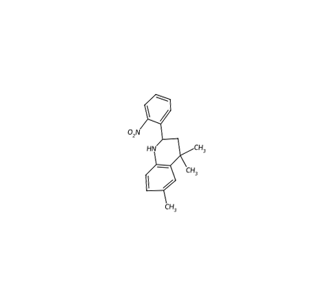 Cc1ccc2c(c1)C(C)(C)CC(c1ccccc1[N+](=O)[O-])N2